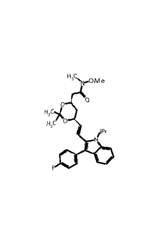 CON(C)C(=O)C[C@H]1C[C@@H](C=Cc2c(-c3ccc(F)cc3)c3ccccc3n2C(C)C)OC(C)(C)O1